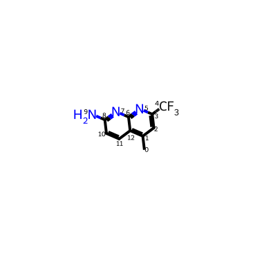 Cc1cc(C(F)(F)F)nc2nc(N)ccc12